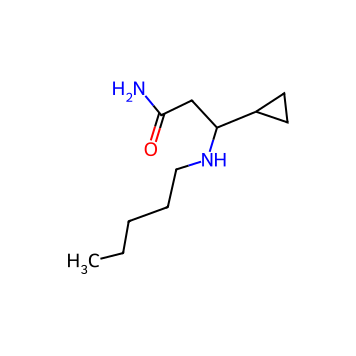 CCCCCNC(CC(N)=O)C1CC1